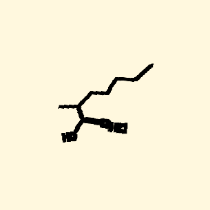 CCCCCC(C)C(=O)O.Cl